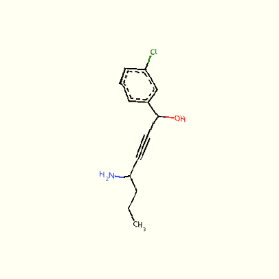 CCCC(N)C#CC(O)c1cccc(Cl)c1